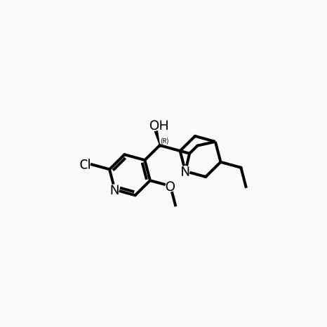 CCC1CN2CCC1CC2[C@H](O)c1cc(Cl)ncc1OC